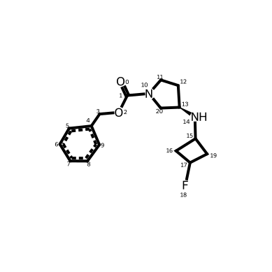 O=C(OCc1ccccc1)N1CC[C@@H](NC2CC(F)C2)C1